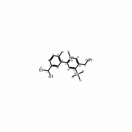 CCC(CC)c1ccc(C)c(-c2cc([Si](C)(C)C)c(CC(C)C)c[n+]2C)c1